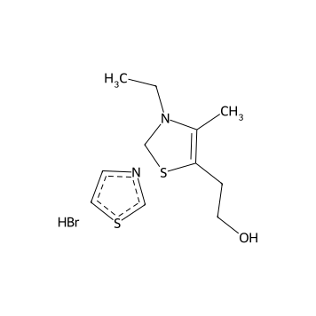 Br.CCN1CSC(CCO)=C1C.c1cscn1